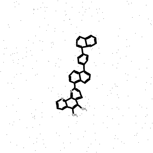 Cc1c(C)c2ccc(-c3cccc4c(-c5ccc(-c6cccc7ccccc67)cc5)cccc34)nc2c2ncccc12